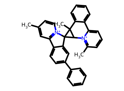 Cc1cc[n+]2c(c1)-c1ccc(-c3ccccc3)cc1C21C2[n+]3c(C)cccc3-c3ccccc3C21C